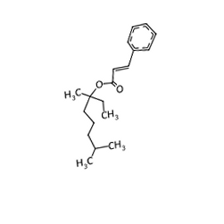 CCC(C)(CCCC(C)C)OC(=O)C=Cc1ccccc1